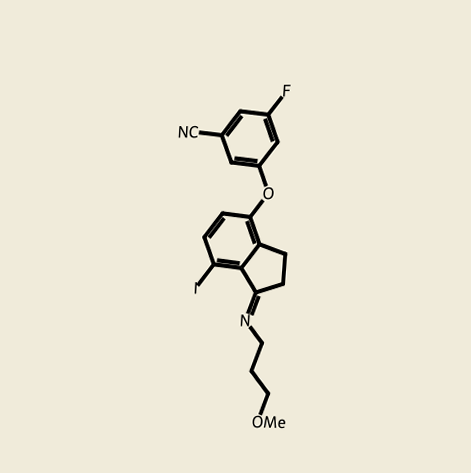 COCCCN=C1CCc2c(Oc3cc(F)cc(C#N)c3)ccc(I)c21